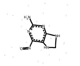 Nc1nc(N=O)c2c(n1)NCN2